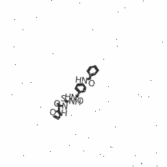 O=C(NNC(=S)NC(=O)c1ccco1)c1ccc(NC(=O)c2ccccc2)cc1